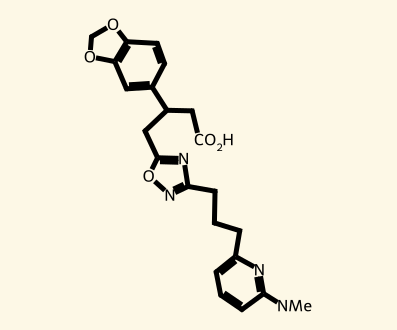 CNc1cccc(CCCc2noc(CC(CC(=O)O)c3ccc4c(c3)OCO4)n2)n1